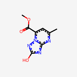 COC(=O)c1cc(C)nc2nc(O)nn12